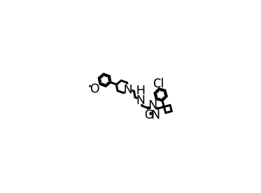 COc1cccc(C2CCN(CCNCc3nc(C4(c5ccc(Cl)cc5)CCC4)no3)CC2)c1